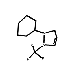 FC(F)(F)N1C=CCN1C1CCCCC1